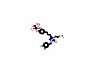 CCCn1c(CCCc2ccc(OC(C)(C)C(=O)O)cc2)cn(Cc2ccc(F)c(F)c2)c1=O